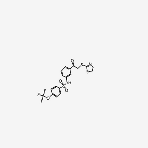 O=C(CSC1=NCCS1)c1cccc(NS(=O)(=O)c2ccc(OC(F)(F)F)cc2)c1